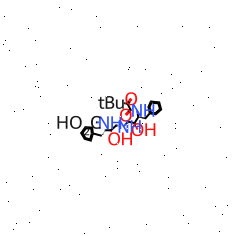 CC(C)(C)C(=O)C(=O)N[C@@H](Cc1ccccc1)C(O)CNC[C@@H](O)[C@H](Cc1ccccc1)NC(=O)O